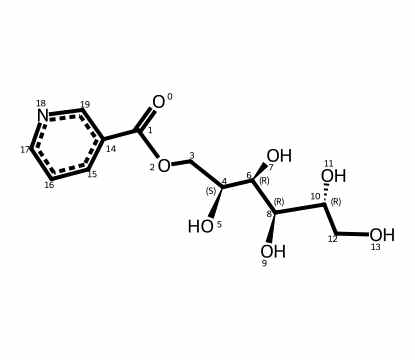 O=C(OC[C@H](O)[C@@H](O)[C@H](O)[C@H](O)CO)c1cccnc1